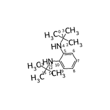 CC(C)(C)Nc1ccccc1NC(C)(C)C